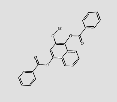 CCOc1cc(OC(=O)c2ccccc2)c2ccccc2c1OC(=O)c1ccccc1